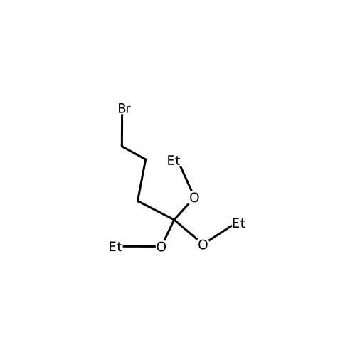 CCOC(CCCBr)(OCC)OCC